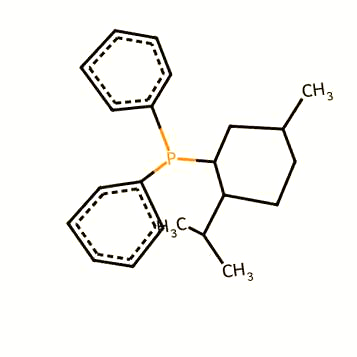 CC1CCC(C(C)C)C(P(c2ccccc2)c2ccccc2)C1